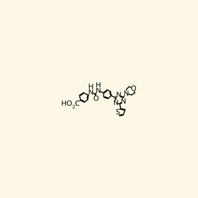 O=C(Nc1ccc(C(=O)O)cc1)Nc1ccc(-c2nc(-c3cccs3)nc(N3CCOCC3)n2)cc1